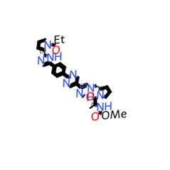 C=N/C(=C\NC[C@@H]1CCCN1C(=O)[C@H](C)NC(=O)OC)c1cnc(-c2ccc(-c3cnc([C@@H]4CCCN4C(=O)CC)[nH]3)cc2)nc1